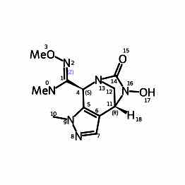 CN/C(=N\OC)[C@@H]1c2c(cnn2C)[C@@H]2CN1C(=O)N2O